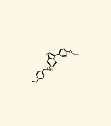 CCOc1ccc(-c2cnc3cc(NCc4ccc(CC)cc4)ccn23)cc1